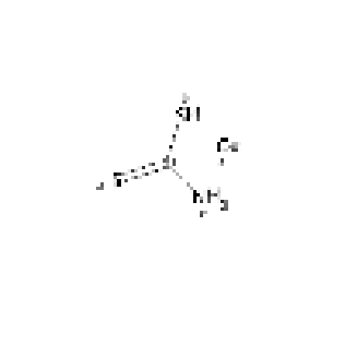 NC(=S)S.[Ce]